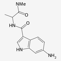 CNC(=O)C(C)NC(=O)c1c[nH]c2cc(N)ccc12